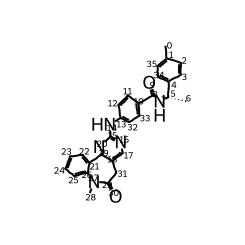 Cc1ccc([C@H](C)NC(=O)c2ccc(Nc3ncc4c(n3)-c3ccccc3N(C)C(=O)C4)cc2)cc1